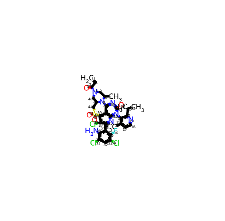 C=CC(=O)N1CC(C)N2c3nc(=O)n(-c4c(C)ccnc4C(C)C)c4nc(-c5c(N)c(Cl)cc(Cl)c5F)c(Cl)c(c34)S(=O)(=O)CC2C1